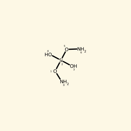 NO[Si](O)(O)ON